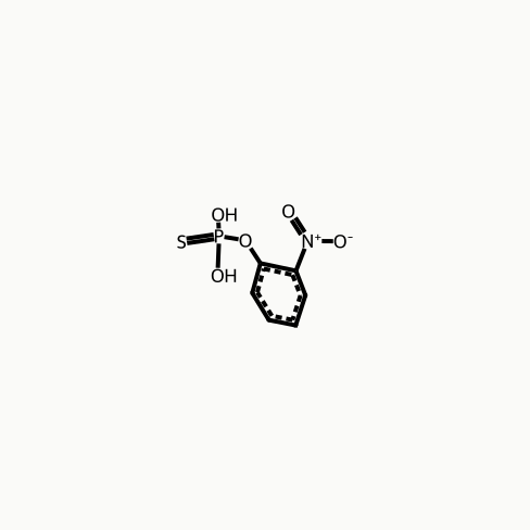 O=[N+]([O-])c1ccccc1OP(O)(O)=S